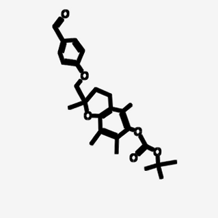 Cc1c(C)c2c(c(C)c1OC(=O)OC(C)(C)C)CCC(C)(COc1ccc(C=O)cc1)O2